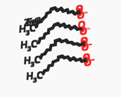 CCCCCCCC/C=C\CCCCCCCC(=O)[O-].CCCCCCCC/C=C\CCCCCCCC(=O)[O-].CCCCCCCC/C=C\CCCCCCCC(=O)[O-].CCCCCCCC/C=C\CCCCCCCC(=O)[O-].[Fe+2].[Zn+2]